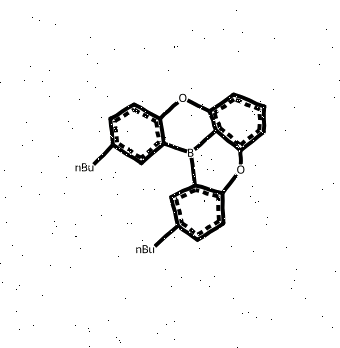 CCCCc1ccc2c(c1)B1c3cc(CCCC)ccc3Oc3cccc(c31)O2